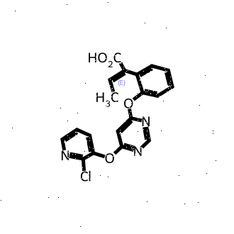 C/C=C(/C(=O)O)c1ccccc1Oc1cc(Oc2cccnc2Cl)ncn1